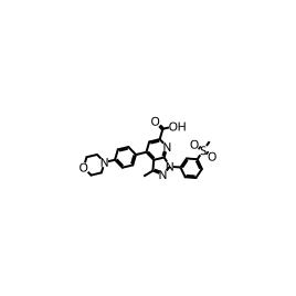 Cc1nn(-c2cccc(S(C)(=O)=O)c2)c2nc(C(=O)O)cc(-c3ccc(N4CCOCC4)cc3)c12